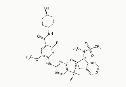 COc1cc(C(=O)N[C@H]2CC[C@H](O)CC2)c(F)cc1Nc1ncc(C(F)(F)F)c(O[C@@H]2Cc3ccccc3[C@H]2N(C)S(C)(=O)=O)n1